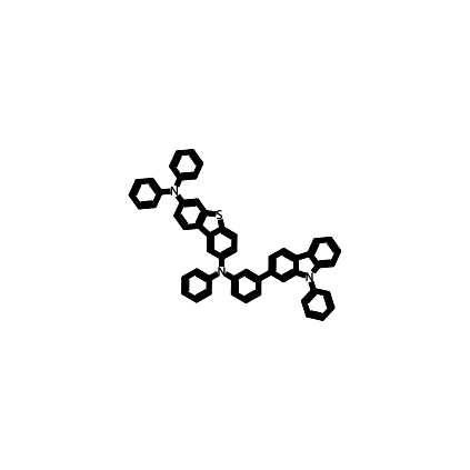 c1ccc(N(c2ccccc2)c2ccc3c(c2)sc2ccc(N(c4ccccc4)c4cccc(-c5ccc6c7ccccc7n(-c7ccccc7)c6c5)c4)cc23)cc1